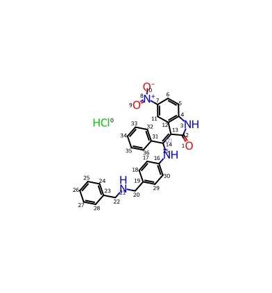 Cl.O=C1Nc2ccc([N+](=O)[O-])cc2/C1=C(/Nc1ccc(CNCc2ccccc2)cc1)c1ccccc1